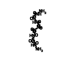 NCCNC(=O)C1CC(=O)N(CCNC(=O)C2CC(=O)N(CCN3CC(C(=O)NCCN4CC(C(=O)NCCN)CC4=O)CC3=O)C2)C1